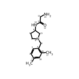 Cc1ccc(CN2CCC(NC(=O)CN)C2)c(C)c1